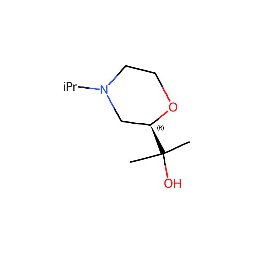 CC(C)N1CCO[C@@H](C(C)(C)O)C1